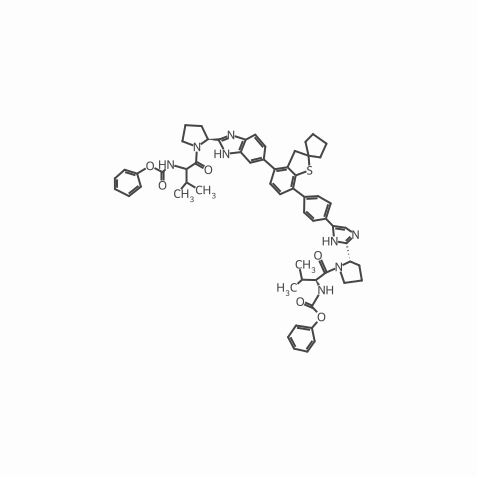 CC(C)C(NC(=O)Oc1ccccc1)C(=O)N1CCC[C@H]1c1nc2ccc(-c3ccc(-c4ccc(-c5cnc([C@@H]6CCCN6C(=O)[C@@H](NC(=O)Oc6ccccc6)C(C)C)[nH]5)cc4)c4c3CC3(CCCC3)S4)cc2[nH]1